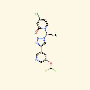 CC(n1cc(-c2cncc(OC(F)F)c2)nn1)n1ccc(Cl)cc1=O